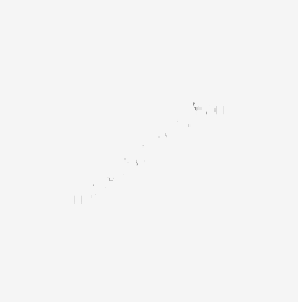 [O]=[Ti]([OH])[O]CCOCCOCCOCCO